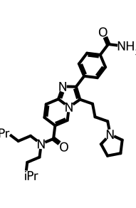 CC(C)CCN(CCC(C)C)C(=O)c1ccc2nc(-c3ccc(C(N)=O)cc3)c(CCCN3CCCC3)n2c1